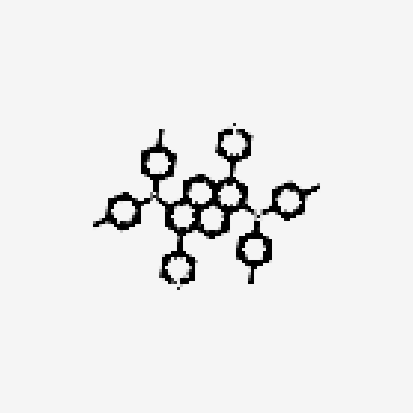 Cc1ccc(N(c2ccc(C)cc2)c2cc(-c3ccncc3)c3ccc4c(N(c5ccc(C)cc5)c5ccc(C)cc5)cc(-c5ccncc5)c5ccc2c3c54)cc1